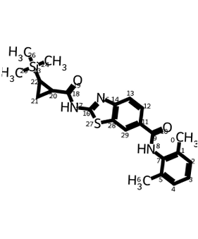 Cc1cccc(C)c1NC(=O)c1ccc2nc(NC(=O)C3CC3[Si](C)(C)C)sc2c1